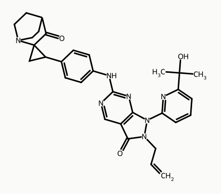 C=CCn1c(=O)c2cnc(Nc3ccc(C4CC45C(=O)C4CCN5CC4)cc3)nc2n1-c1cccc(C(C)(C)O)n1